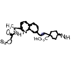 C[C@@H](NC(=O)OC(C)(C)C)c1ccc2ccc(/C=C/C3(C(=O)O)CCC(=N)CC3)cc2n1